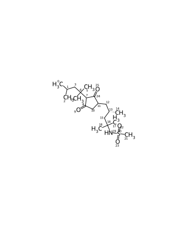 CC(C)CC(C)(C)C1C(=O)CC(C[C@H](C)CC(C)(C)NS(C)(=O)=O)C1=O